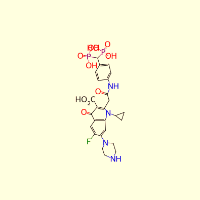 O=C(Cc1c(C(=O)O)c(=O)c2cc(F)c(N3CCNCC3)cc2n1C1CC1)Nc1ccc(C(P(=O)(O)O)P(=O)(O)O)cc1